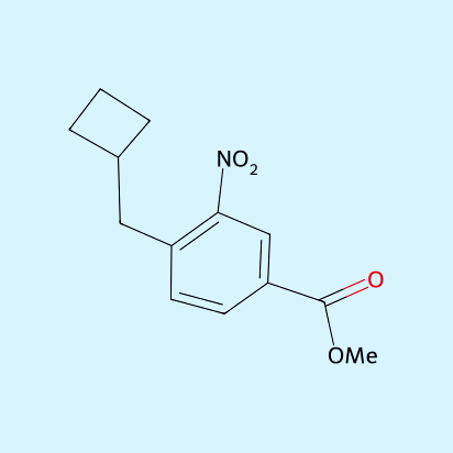 COC(=O)c1ccc(CC2CCC2)c([N+](=O)[O-])c1